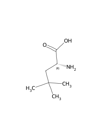 CC(C)(C)C[C@@H](N)C(=O)O